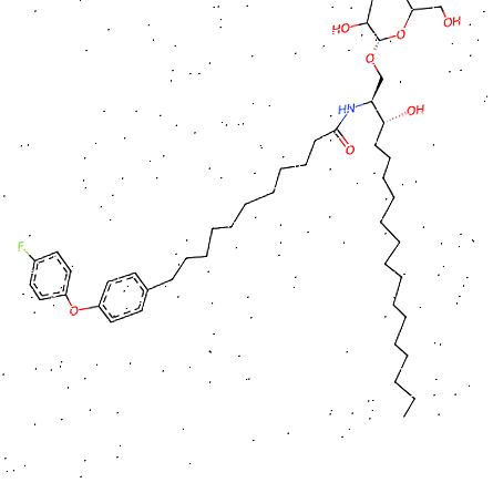 CCCCCCCCCCCCCCC[C@@H](O)[C@H](CO[C@H]1OC(CO)[C@@H](O)[C@H](O)C1O)NC(=O)CCCCCCCCCCc1ccc(Oc2ccc(F)cc2)cc1